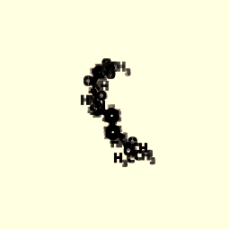 CC(C)(C)OC(=O)NCc1cccc(-c2cccc(-c3csc(NC(=O)CNC(=O)c4ccn(S(C)(=O)=O)c4)n3)c2)c1